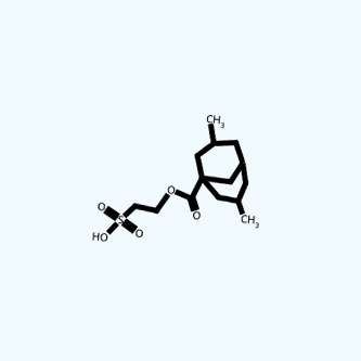 CC1CC2CC(C)CC(C(=O)OCCS(=O)(=O)O)(C1)C2